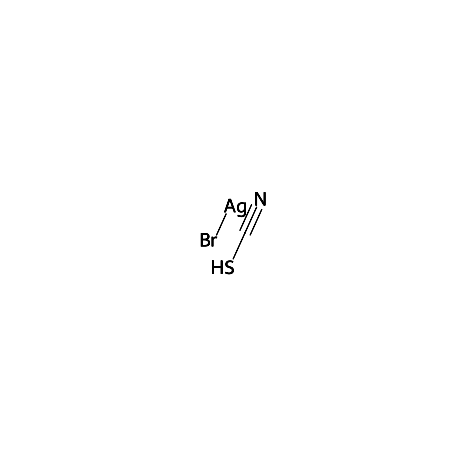 N#CS.[Br][Ag]